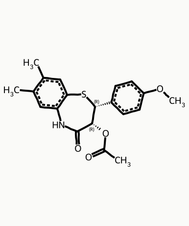 COc1ccc([C@H]2Sc3cc(C)c(C)cc3NC(=O)[C@H]2OC(C)=O)cc1